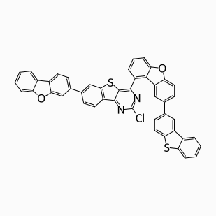 Clc1nc(-c2cccc3oc4ccc(-c5ccc6sc7ccccc7c6c5)cc4c23)c2sc3cc(-c4ccc5c(c4)oc4ccccc45)ccc3c2n1